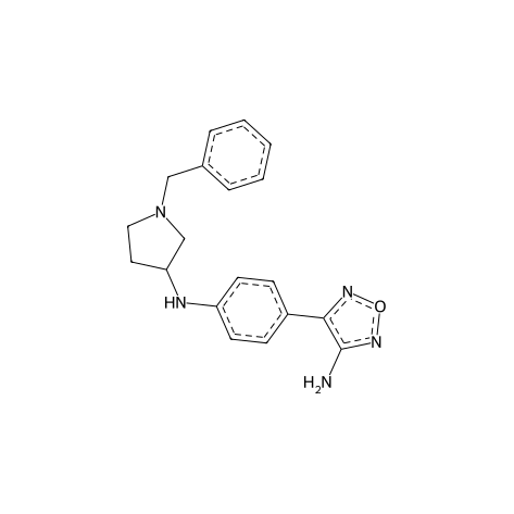 Nc1nonc1-c1ccc(NC2CCN(Cc3ccccc3)C2)cc1